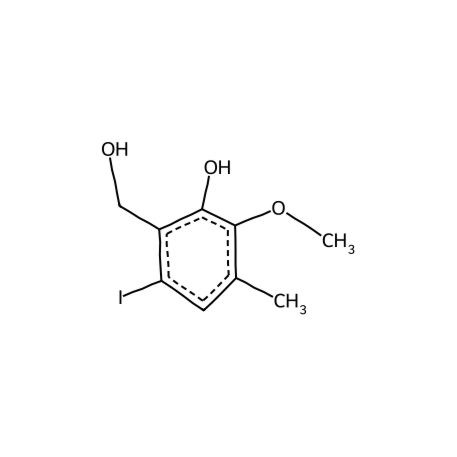 COc1c(C)cc(I)c(CO)c1O